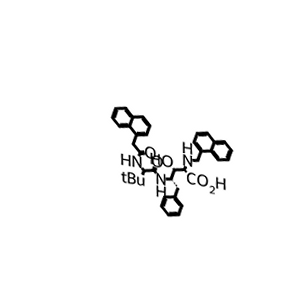 CC(C)(C)C(NC(=O)Cc1cccc2ccccc12)C(=O)N[C@@H](Cc1ccccc1)[C@@H](O)[C@@H](NCc1cccc2ccccc12)C(=O)O